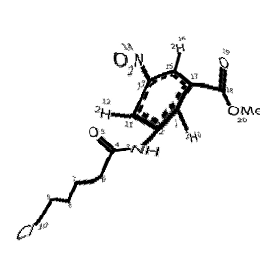 [2H]c1c(NC(=O)CCCCCl)c([2H])c([N+](=O)[O-])c([2H])c1C(=O)OC